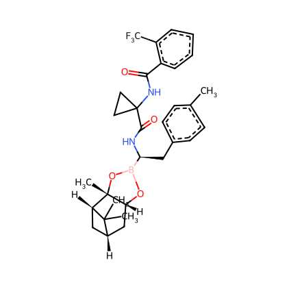 Cc1ccc(C[C@H](NC(=O)C2(NC(=O)c3ccccc3C(F)(F)F)CC2)B2O[C@@H]3C[C@@H]4C[C@@H](C4(C)C)[C@]3(C)O2)cc1